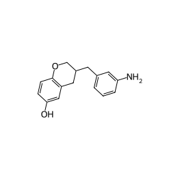 Nc1cccc(CC2COc3ccc(O)cc3C2)c1